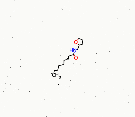 CCCCCC/C=C/C(=O)NCC1CCCO1